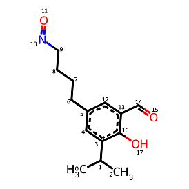 CC(C)c1cc(CCCCN=O)cc(C=O)c1O